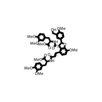 COC(=O)C(Cc1ccc(OC)c(OC)c1)NC(=O)/C=C/c1ccc(OC)c2c1[C@H](C(=O)NC(Cc1ccc(OC)c(OC)c1)C(=O)OC)C(c1ccc(OC)c(CO)c1)O2